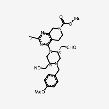 COc1ccc(CN2C[C@@H](CC=O)N(c3nc(Cl)nc4c3CCN(C(=O)OC(C)(C)C)C4)C[C@@H]2CC#N)cc1